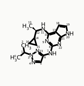 CC(C)n1ncc(Nc2nc(N[C@H](C)C3CC3)c3cc[nH]c3n2)n1